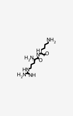 N=C(N)NCCC[C@H](N)C(=O)N[C@H]([C]=O)CCCCN